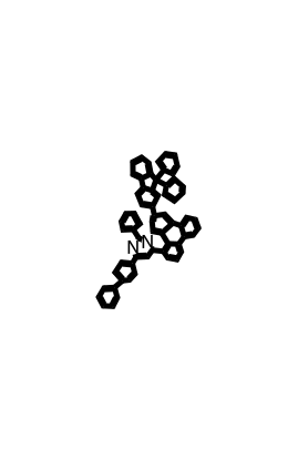 c1ccc(-c2ccc(-c3cc(-c4cccc5c6ccccc6c6cc(-c7ccc8c(c7)C(c7ccccc7)(c7ccccc7)c7ccccc7-8)ccc6c45)nc(-c4ccccc4)n3)cc2)cc1